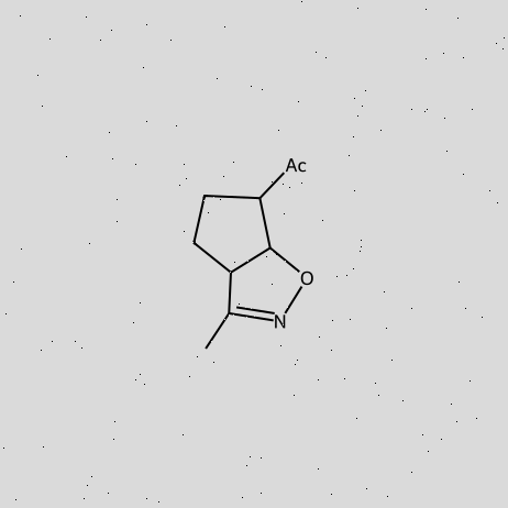 CC(=O)C1CCC2C(C)=NOC12